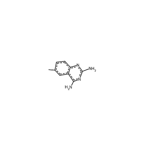 Cc1ccc2nc(N)nc(N)c2c1